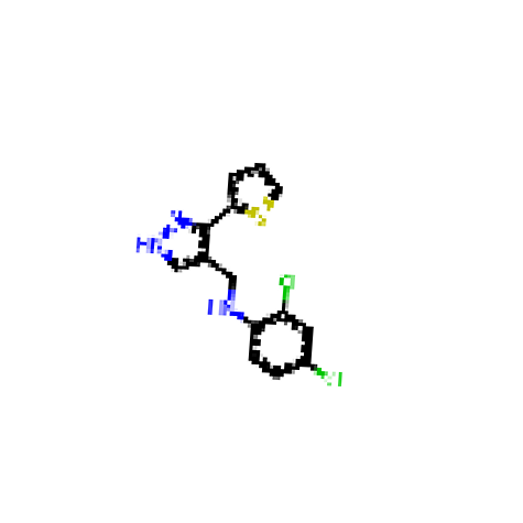 Clc1ccc(NCc2c[nH]nc2-c2cccs2)c(Cl)c1